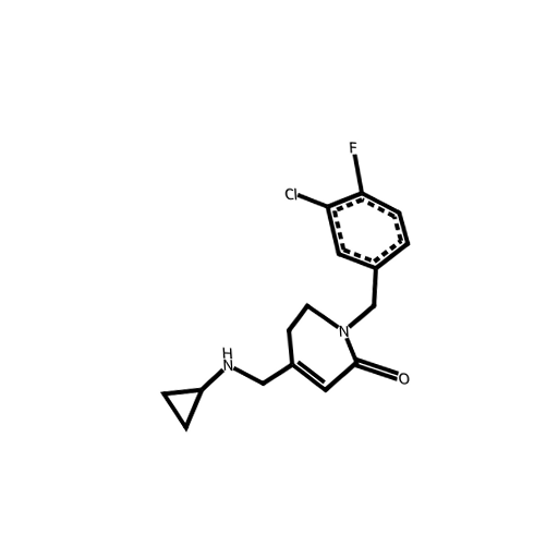 O=C1C=C(CNC2CC2)CCN1Cc1ccc(F)c(Cl)c1